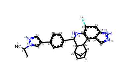 CC(C#N)n1cc(-c2ccc(C3Nc4c(F)cc5[nH]ncc5c4C4C5CCC(C5)C34)cc2)cn1